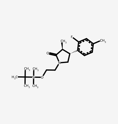 Cc1ccc([C@@H]2CN(CCO[Si](C)(C)C(C)(C)C)C(=O)[C@H]2C)c(F)c1